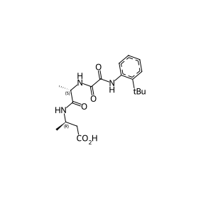 C[C@H](CC(=O)O)NC(=O)[C@H](C)NC(=O)C(=O)Nc1ccccc1C(C)(C)C